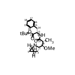 CO[C@@H]([C@@H]1C[C@@H]2C[C@@H]2N1)[C@@H](C)C(=O)N[C@@H](Cc1ccccc1)C(=O)OC(C)(C)C